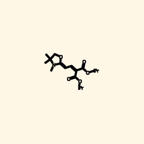 CC(C)OC(=O)C(=C/C=C1\OCC(C)(C)N1C)C(=O)OC(C)C